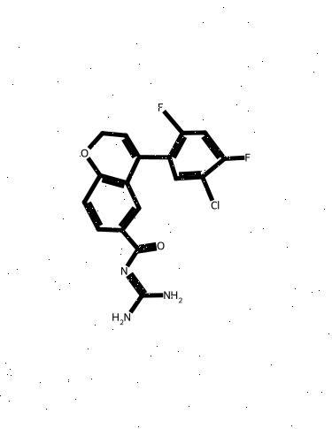 NC(N)=NC(=O)c1ccc2c(c1)C(c1cc(Cl)c(F)cc1F)=CCO2